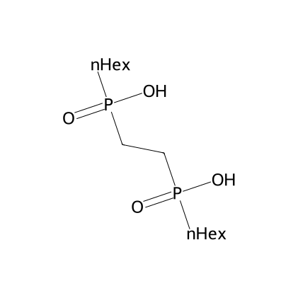 CCCCCCP(=O)(O)CCP(=O)(O)CCCCCC